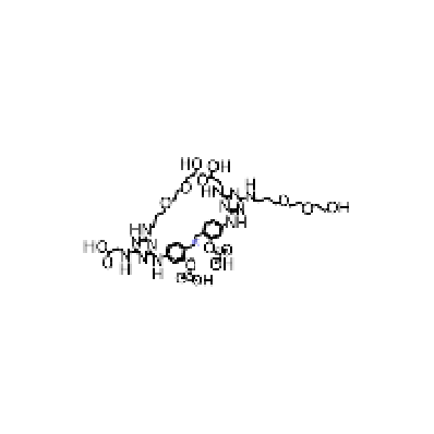 O=C(O)CNc1nc(NCCCOCCOCCO)nc(Nc2ccc(/C=C/c3ccc(Nc4nc(NCCCOCCOCCO)nc(NCC(=O)O)n4)cc3OS(=O)O)c(OS(=O)O)c2)n1